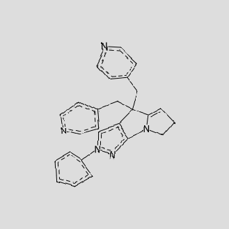 C1=C2N(CC1)c1nn(-c3ccccc3)cc1C2(Cc1ccncc1)Cc1ccncc1